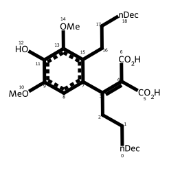 CCCCCCCCCCCCC(=C(C(=O)O)C(=O)O)c1cc(OC)c(O)c(OC)c1CCCCCCCCCCCC